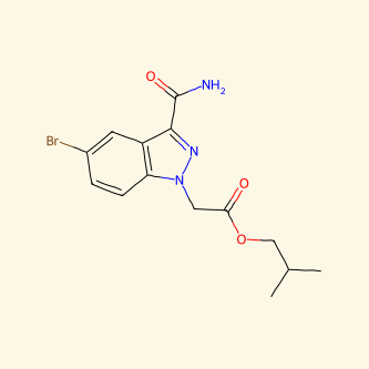 CC(C)COC(=O)Cn1nc(C(N)=O)c2cc(Br)ccc21